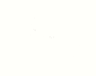 O=C(CN1C(=O)c2ccccc2C1=O)NCCCC(CO)C(F)(F)F